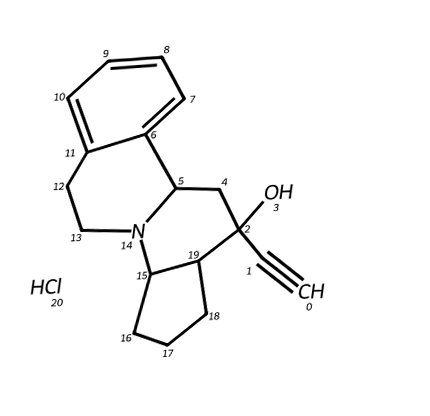 C#CC1(O)CC2c3ccccc3CCN2C2CCCC21.Cl